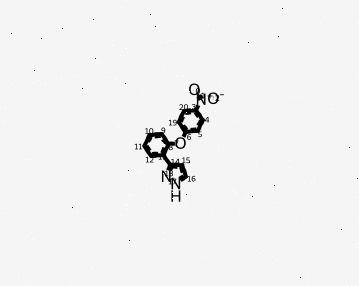 O=[N+]([O-])c1ccc(Oc2ccccc2-c2cc[nH]n2)cc1